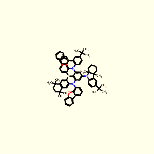 CC(C)(C)c1ccc(N2c3cc(N4c5ccc(C(C)(C)C)cc5C5(C)CCCCC45C)cc4c3B(c3cc5c(cc3N4c3cccc4c3oc3ccccc34)C(C)(C)CCC5(C)C)c3ccc4c(sc5ccccc54)c32)c(-c2ccccc2)c1